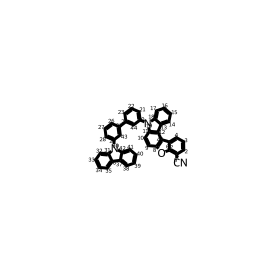 N#Cc1cccc2c1oc1ccc3c(c4ccccc4n3-c3cccc(-c4cccc(-n5c6ccccc6c6ccccc65)c4)c3)c12